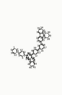 c1ccc(-c2ccc(-c3nc(-c4ccc(-c5cccc(-c6ccc7c(c6)C6(CCCCC6)c6ccccc6-7)c5)cc4)c4sc5ccccc5c4n3)cc2)cc1